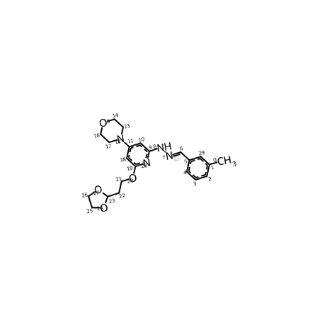 Cc1cccc(/C=N/Nc2cc(N3CCOCC3)cc(OCCC3OCCO3)n2)c1